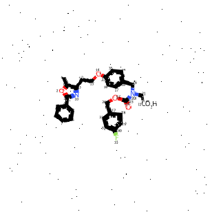 Cc1oc(-c2ccccc2)nc1CCOc1ccc(CN(CC(=O)O)C(=O)OCc2ccc(F)cc2)cc1